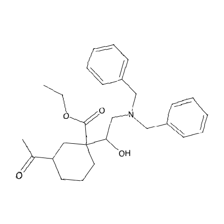 CCOC(=O)C1(C(O)CN(Cc2ccccc2)Cc2ccccc2)CCCC(C(C)=O)C1